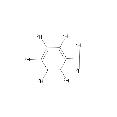 [2H]c1c([2H])c([2H])c(C([2H])([2H])C)c([2H])c1[2H]